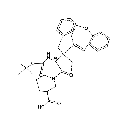 CCC(Cc1ccccc1)(C1=Cc2ccccc2OCC1)[C@@H](NC(=O)OC(C)(C)C)C(=O)N1CCCC(C(=O)O)C1